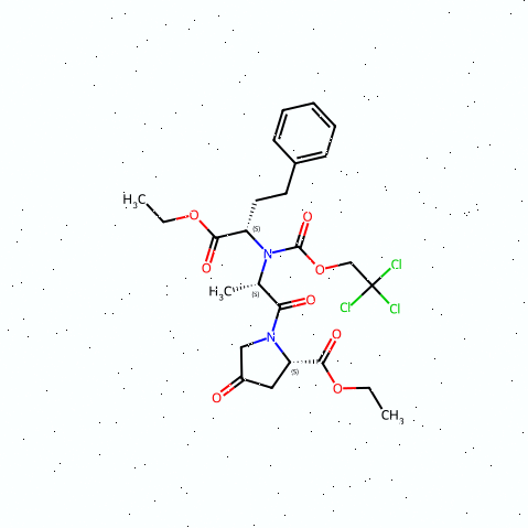 CCOC(=O)[C@@H]1CC(=O)CN1C(=O)[C@H](C)N(C(=O)OCC(Cl)(Cl)Cl)[C@@H](CCc1ccccc1)C(=O)OCC